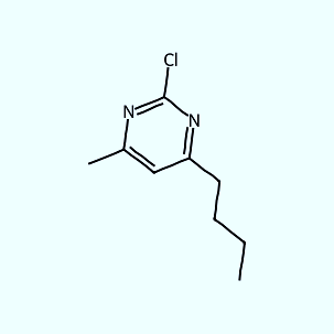 CCCCc1cc(C)nc(Cl)n1